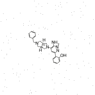 Nc1nnc(-c2ccccc2O)cc1N1C[C@H]2CN(Cc3ccccc3)C[C@H]2C1